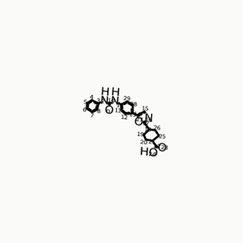 O=C(Nc1ccccc1)Nc1ccc(-c2cnc(C3CCC(C(=O)O)CC3)o2)cc1